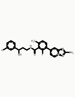 Cc1ccc(-c2ccn3nc(N)nc3c2)c(F)c1C(=O)NCCC(O)c1cccc(Cl)c1